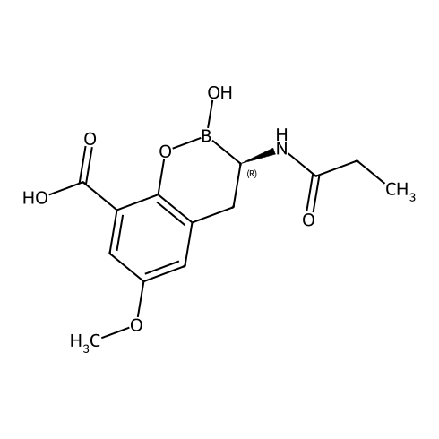 CCC(=O)N[C@H]1Cc2cc(OC)cc(C(=O)O)c2OB1O